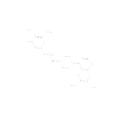 COc1cc2ncnc(N3CCN(C(=O)NCc4cc(OC)c(OC)c(OC)c4)CC3)c2cc1OC